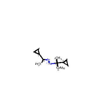 COC(C)(/N=N/C(C)C1CC1)C1CC1